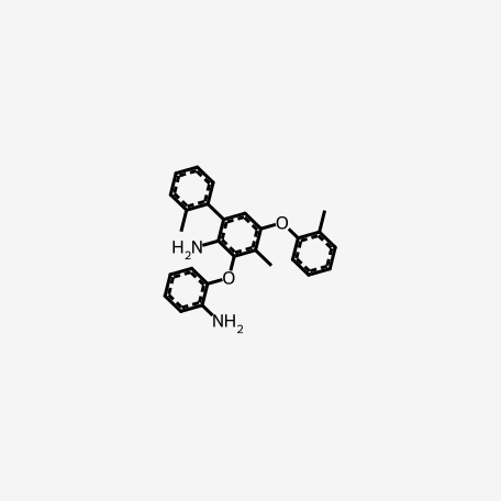 Cc1ccccc1Oc1cc(-c2ccccc2C)c(N)c(Oc2ccccc2N)c1C